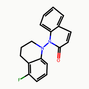 O=c1ccc2ccccc2n1N1CCCc2c(F)cccc21